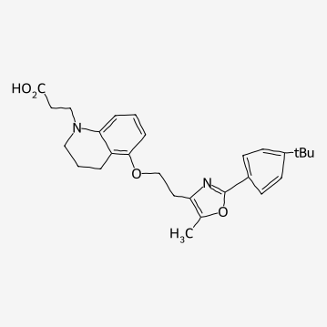 Cc1oc(-c2ccc(C(C)(C)C)cc2)nc1CCOc1cccc2c1CCCN2CCC(=O)O